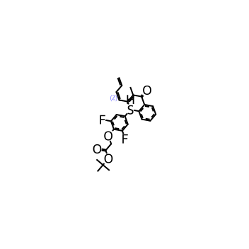 C=C/C=C\C1=C(C)C(=O)c2ccccc2[SH]1c1cc(F)c(OCC(=O)OC(C)(C)C)c(F)c1